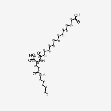 CCCCCCNC(=O)CCC(NC(=O)CCCCCCCCCCCCCCC(=O)O)C(=O)O